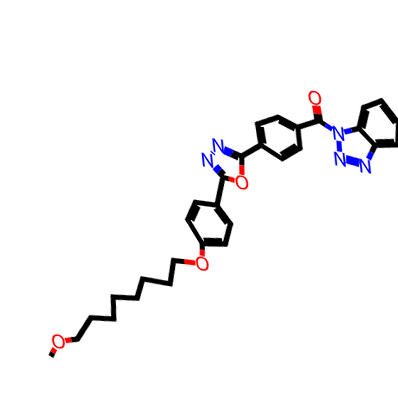 COCCCCCCCCOc1ccc(-c2nnc(-c3ccc(C(=O)n4nnc5ccccc54)cc3)o2)cc1